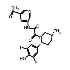 C[C@@H]1CC[C@@H](c2cc(F)c(O)c(F)c2)N(C(=O)C(=O)Nc2cncc(C(N)=O)c2)C1